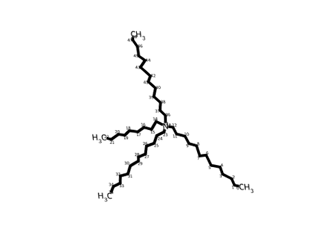 CCCCCCCCCCCCC[N+](CCCCCCCCC)(CCCCCCCCCCCCC)CCCCCCCCCCCCC